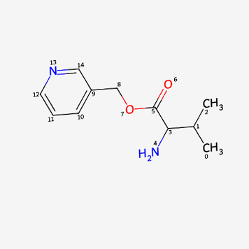 CC(C)C(N)C(=O)OCc1cccnc1